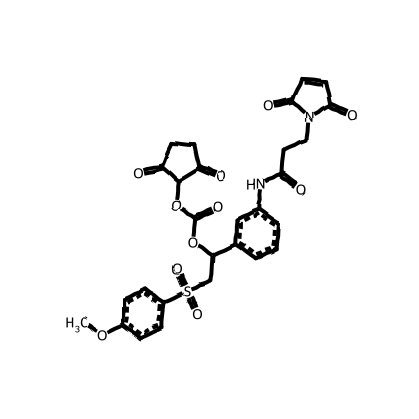 COc1ccc(S(=O)(=O)CC(OC(=O)OC2C(=O)CCC2=O)c2cccc(NC(=O)CCN3C(=O)C=CC3=O)c2)cc1